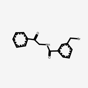 O=C(CNC(=O)c1cccc(CBr)c1)c1ccccc1